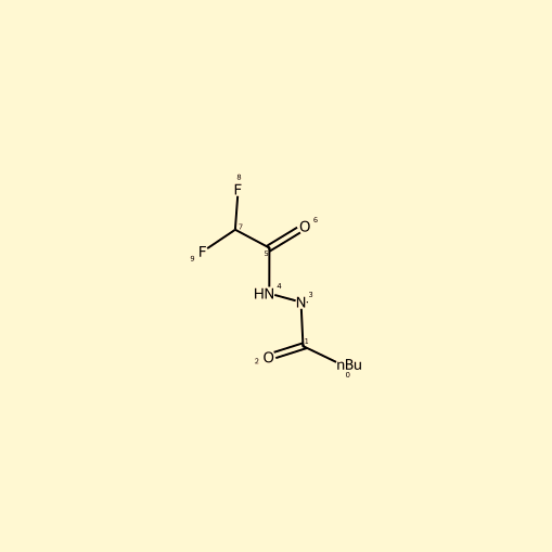 CCCCC(=O)[N]NC(=O)C(F)F